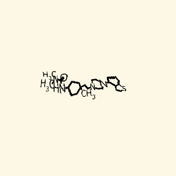 CN(C)C(=O)NC1CCC(C)(CCN2CCN(c3cccc4sccc34)CC2)CC1